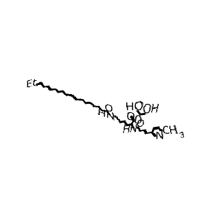 CCC=CCC=CCC=CCC=CCC=CCCCC(=O)NCCCCC(NC(=O)CC=Cc1ccc(C)nc1)C(=O)OC(CO)CO